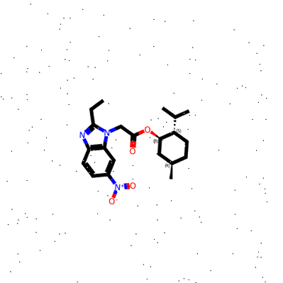 CCc1nc2ccc([N+](=O)[O-])cc2n1CC(=O)O[C@@H]1C[C@H](C)CC[C@H]1C(C)C